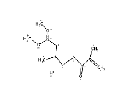 C=C(C)C(=O)NCC(C)C[SiH](OC)OC.[H+]